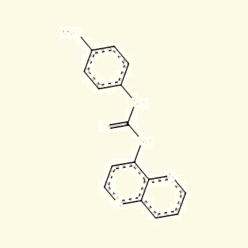 CSc1ccc(NC(=O)Nc2ccnc3cccnc23)cc1